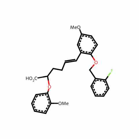 COc1ccc(OCc2ccccc2F)c(/C=C/CCC(Oc2ccccc2OC)C(=O)O)c1